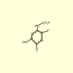 O=Cc1cc(NC(=O)O)c(F)cc1Cl